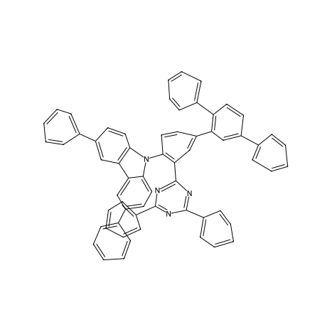 c1ccc(-c2ccc(-c3ccccc3)c(-c3ccc(-n4c5ccc(-c6ccccc6)cc5c5cc(-c6ccccc6)ccc54)c(-c4nc(-c5ccccc5)nc(-c5ccccc5)n4)c3)c2)cc1